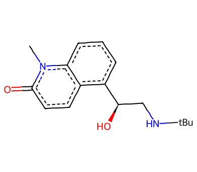 Cn1c(=O)ccc2c([C@H](O)CNC(C)(C)C)cccc21